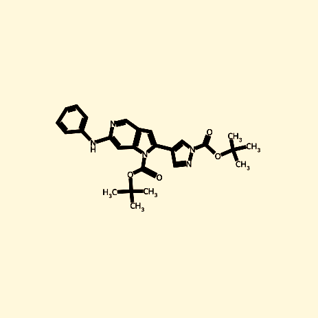 CC(C)(C)OC(=O)n1cc(-c2cc3cnc(Nc4ccccc4)cc3n2C(=O)OC(C)(C)C)cn1